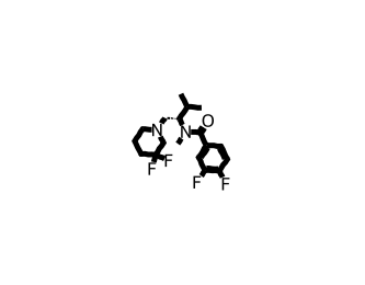 CC(C)[C@@H](CN1CCCC(F)(F)C1)N(C)C(=O)c1ccc(F)c(F)c1